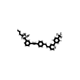 CCCc1nc(-c2cccc(C#Cc3ccc(CCc4ccnc(-c5ccc(C(F)(F)F)cc5)c4)cc3)c2)n(C)n1